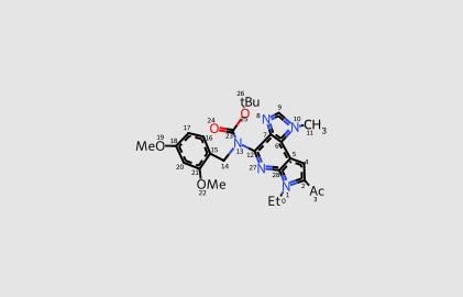 CCn1c(C(C)=O)cc2c3c(ncn3C)c(N(Cc3ccc(OC)cc3OC)C(=O)OC(C)(C)C)nc21